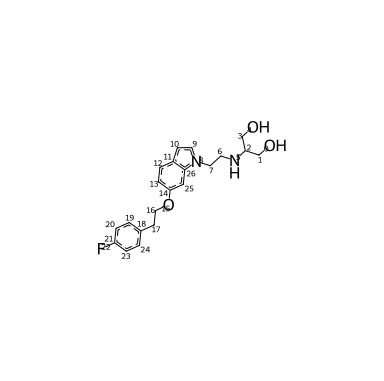 OCC(CO)NCCn1ccc2ccc(OCCc3ccc(F)cc3)cc21